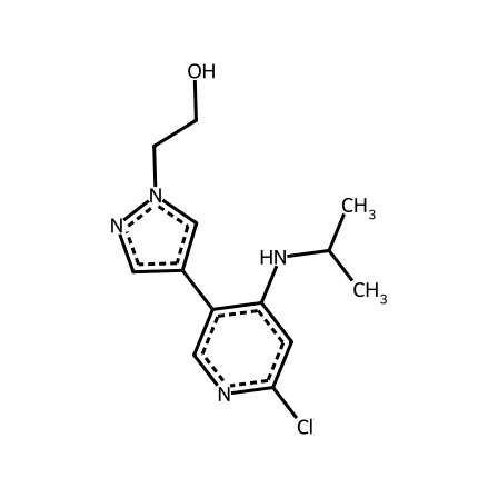 CC(C)Nc1cc(Cl)ncc1-c1cnn(CCO)c1